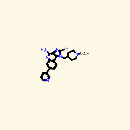 CCc1nc2c(N)nc3cc(-c4cccnc4)ccc3c2n1CC1CCN(C(=O)O)CC1